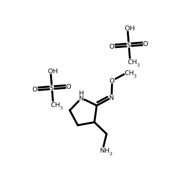 CON=C1NCCC1CN.CS(=O)(=O)O.CS(=O)(=O)O